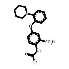 CCC(=O)Nc1ccc(Oc2ccccc2N2CCCCC2)cc1C(=O)O